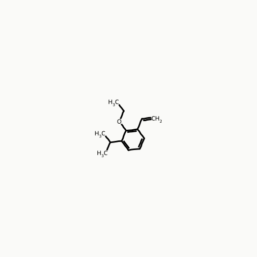 C=Cc1cccc(C(C)C)c1OCC